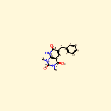 Cn1c(=O)c2cc(Cc3ccccc3)c(=O)[nH]c2n(C)c1=O